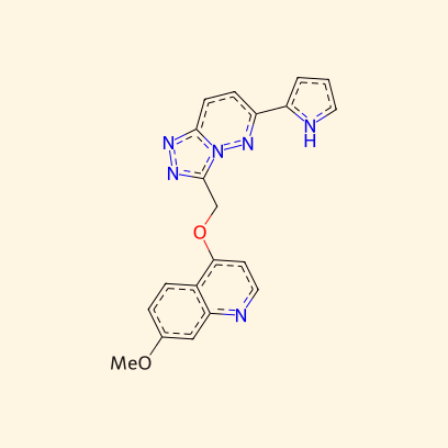 COc1ccc2c(OCc3nnc4ccc(-c5ccc[nH]5)nn34)ccnc2c1